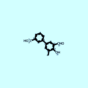 Cc1cc(-c2cccc(C(=O)O)c2)cc(C=O)c1O